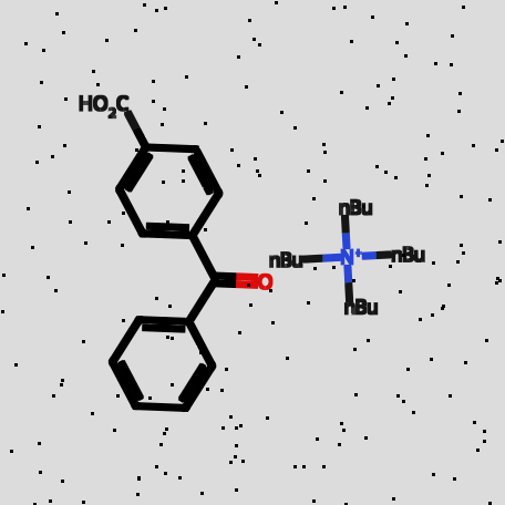 CCCC[N+](CCCC)(CCCC)CCCC.O=C(O)c1ccc(C(=O)c2ccccc2)cc1